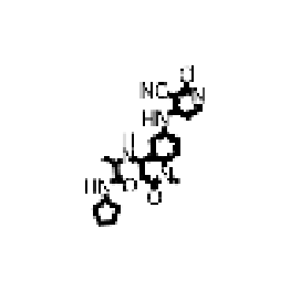 CC(Nc1cc(=O)n(C)c2ccc(Nc3ccnc(Cl)c3C#N)cc12)C(=O)NC1CCCC1